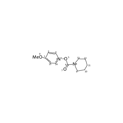 COc1cc[n+](OC(=O)N2CCCCC2)cc1